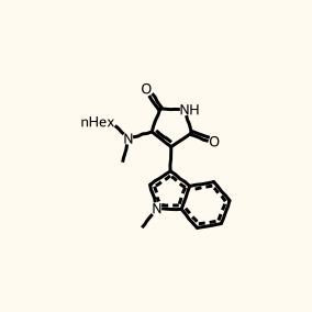 CCCCCCN(C)C1=C(c2cn(C)c3ccccc23)C(=O)NC1=O